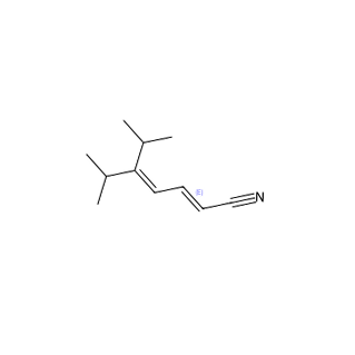 CC(C)C(=C/C=C/C#N)C(C)C